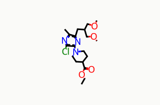 CCOC(=O)C1CCN(c2nc(CC(COC)COC)c(C)nc2Cl)CC1